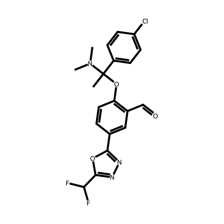 CN(C)C(C)(Oc1ccc(-c2nnc(C(F)F)o2)cc1C=O)c1ccc(Cl)cc1